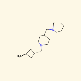 C[C@H]1C[C@H](CN2CCC(CN3CCCCC3)CC2)C1